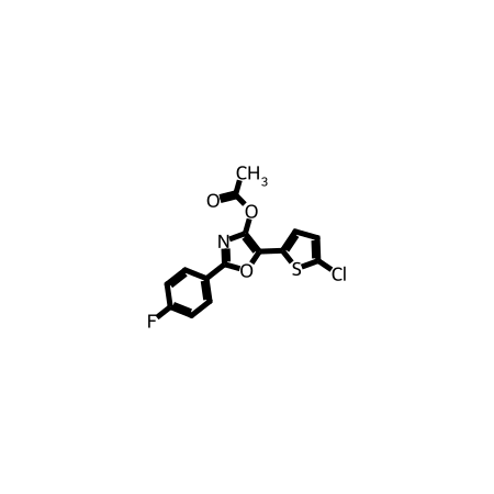 CC(=O)Oc1nc(-c2ccc(F)cc2)oc1-c1ccc(Cl)s1